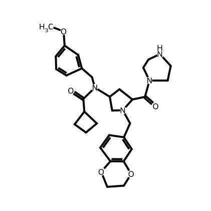 COc1cccc(CN(C(=O)C2CCC2)C2CC(C(=O)N3CCNCC3)N(Cc3ccc4c(c3)OCCO4)C2)c1